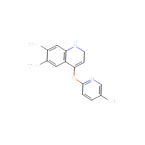 COc1cc2c(cc1OC)C(Oc1ccc(C)cn1)=CCN2